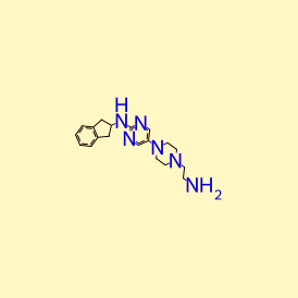 NCCN1CCN(c2cnc(NC3Cc4ccccc4C3)nc2)CC1